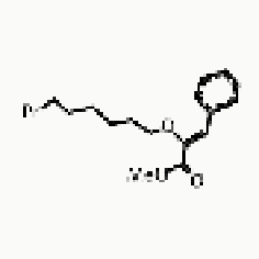 COC(=O)C(=Cc1ccccc1)OCCCCCCC(C)C